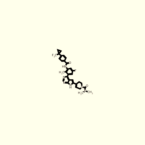 Cc1c(NC(=O)c2ccc(C3(C(F)(F)F)CC3)cc2)cc(F)cc1-c1ncnc2[nH]c(C3=CCN(C(=O)N(C)C)CC3)cc12